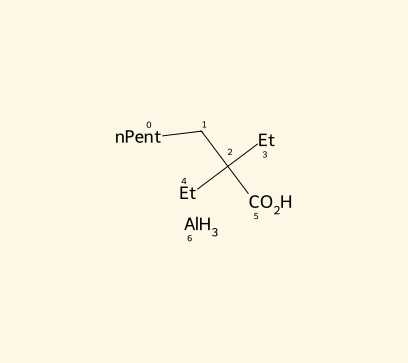 CCCCCCC(CC)(CC)C(=O)O.[AlH3]